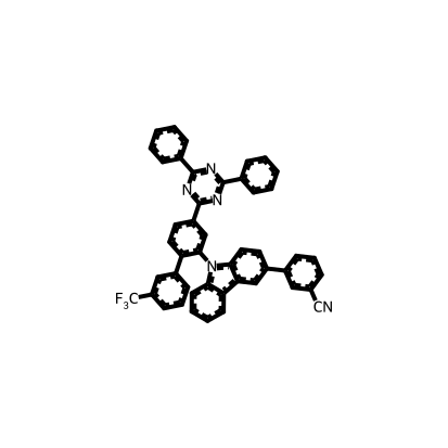 N#Cc1cccc(-c2ccc3c(c2)c2ccccc2n3-c2cc(-c3nc(-c4ccccc4)nc(-c4ccccc4)n3)ccc2-c2cccc(C(F)(F)F)c2)c1